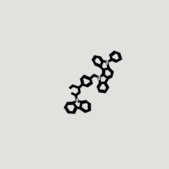 CCC(CC(C)n1c2ccccc2c2ccccc21)c1ccc(Cn2c3ccccc3c3ccc4c(c5ccccc5n4-c4ccccc4)c32)cc1